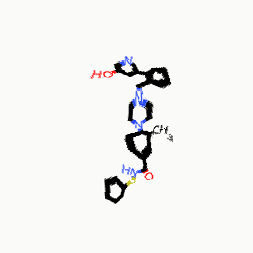 C[C@H]1C=C(C(=O)NSC2CCCCC2)C=CC1N1CCN(Cc2ccccc2-c2cncc(O)c2)CC1